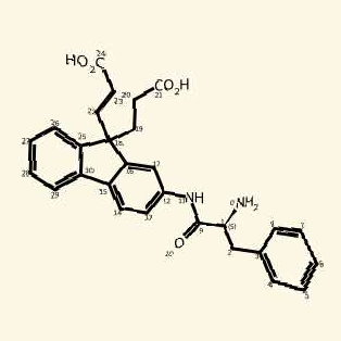 N[C@@H](Cc1ccccc1)C(=O)Nc1ccc2c(c1)C(CCC(=O)O)(CCC(=O)O)c1ccccc1-2